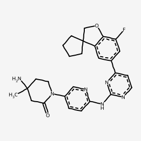 CC1(N)CCN(c2ccc(Nc3nccc(-c4cc(F)c5c(c4)C4(CCCC4)CO5)n3)nc2)C(=O)C1